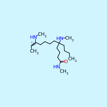 C/C=C(\CCCCC(CCCC)(CCCC(=O)NC)NC)NC